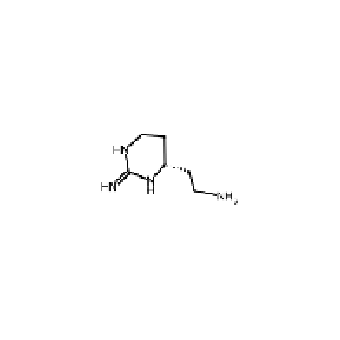 N=C1NCC[C@H](CCN)N1